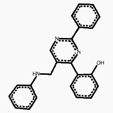 Oc1ccccc1-c1nc(-c2ccccc2)ncc1CNc1ccccc1